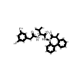 CC1C(=O)N(NC(=O)[C@@H](NC(=O)Cc2cc(F)cc(F)c2)C(C)C)c2ccccc2-c2ccccc21